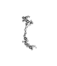 Cc1ncsc1-c1ccc(CNC(=O)[C@@H]2CCCN2C(=O)CC(C)C)c(OCCOCCOCCOCCOc2ccc(C(=O)Nc3ccc4oc(-c5ccc(=O)n(C)n5)nc4c3)nc2)c1